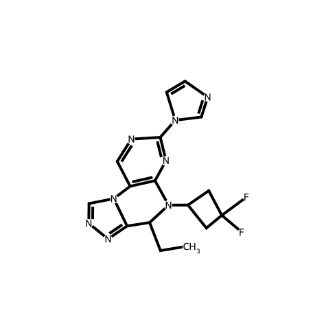 CCC1c2nncn2-c2cnc(-n3ccnc3)nc2N1C1CC(F)(F)C1